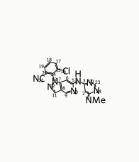 CNc1cc(Nc2cc3c(cn2)cnn3-c2c(Cl)cccc2C#N)ncn1